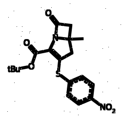 CC(C)(C)OC(=O)C1=C(Sc2ccc([N+](=O)[O-])cc2)CC2(C)CC(=O)N12